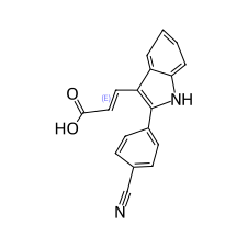 N#Cc1ccc(-c2[nH]c3ccccc3c2/C=C/C(=O)O)cc1